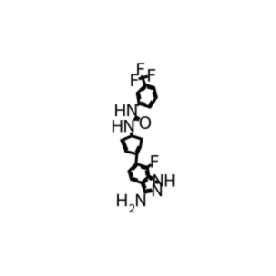 Nc1n[nH]c2c(F)c(C3=CCC(NC(=O)Nc4cccc(C(F)(F)F)c4)C=C3)ccc12